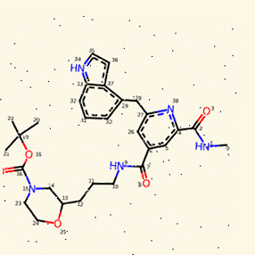 CNC(=O)c1cc(C(=O)NCCCC2CN(C(=O)OC(C)(C)C)CCO2)cc(Cc2cccc3[nH]ccc23)n1